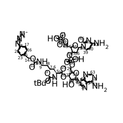 CC(C)(C)OC(=O)N[C@@H](CCCCNC(=O)OCc1ccc(N=[N+]=[N-])cc1)C(=O)O[C@@H]1C(COP(=O)(O)O[C@H]2CC(n3ccc(N)nc3=O)O[C@@H]2COP(=O)(O)O)O[C@@H](n2cnc3c(N)ncnc32)[C@@H]1O